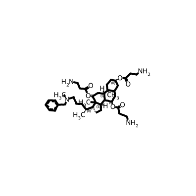 C[C@H](CCCN(C)Cc1ccccc1)[C@H]1CC[C@H]2C3[C@H](OC(=O)CCN)CC4C[C@H](OC(=O)CCN)CC[C@]4(C)[C@H]3C[C@H](OC(=O)CCN)C12C